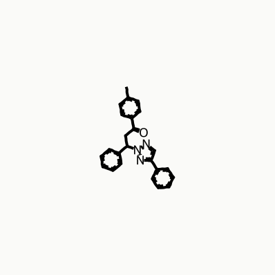 Cc1ccc(C(=O)CC(c2ccccc2)n2ncc(-c3ccccc3)n2)cc1